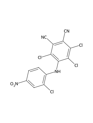 N#Cc1c(Cl)c(Cl)c(Nc2ccc([N+](=O)[O-])cc2Cl)c(Cl)c1C#N